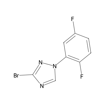 Fc1ccc(F)c(-n2cnc(Br)n2)c1